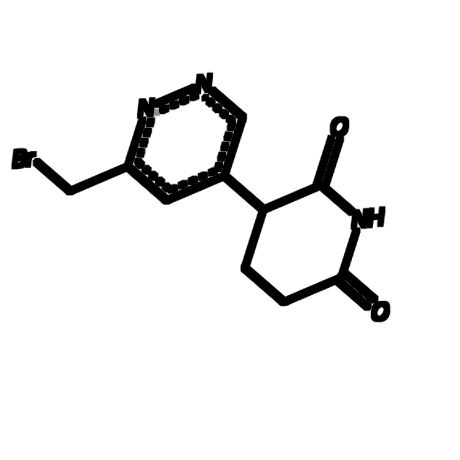 O=C1CCC(c2cnnc(CBr)c2)C(=O)N1